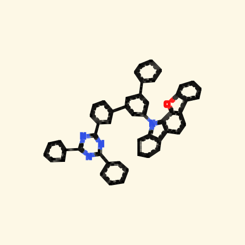 c1ccc(-c2cc(-c3cccc(-c4nc(-c5ccccc5)nc(-c5ccccc5)n4)c3)cc(-n3c4ccccc4c4ccc5c6ccccc6oc5c43)c2)cc1